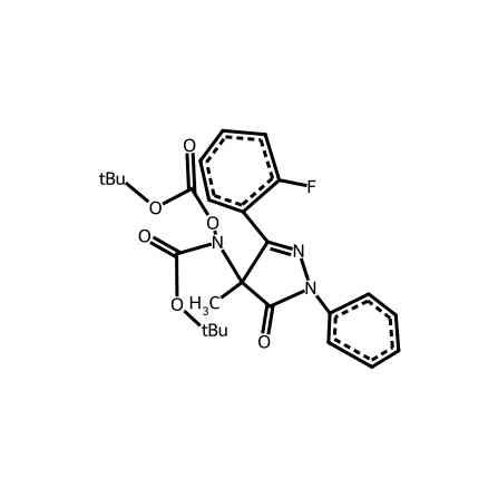 CC(C)(C)OC(=O)ON(C(=O)OC(C)(C)C)C1(C)C(=O)N(c2ccccc2)N=C1c1ccccc1F